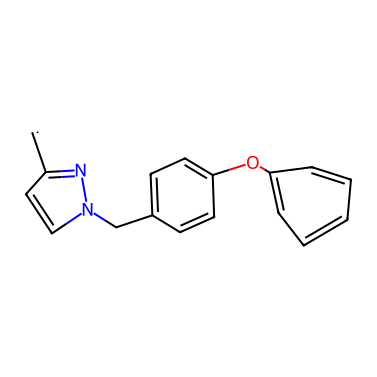 [CH2]c1ccn(Cc2ccc(Oc3ccccc3)cc2)n1